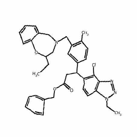 CCC1CN(Cc2cc(C(CC(=O)OCc3ccccc3)c3ccc4c(nnn4CC)c3Cl)ccc2C)Cc2ccccc2O1